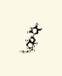 CCCCCCCCCOP1(=O)OC[C@H]2O[C@@H](n3cc(F)c(=O)[nH]c3=O)C[C@@H]2O1